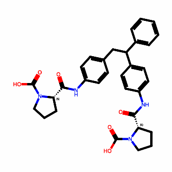 O=C(Nc1ccc(CC(c2ccccc2)c2ccc(NC(=O)[C@@H]3CCCN3C(=O)O)cc2)cc1)[C@@H]1CCCN1C(=O)O